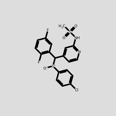 CS(=O)(=O)Nc1cc(C(c2cc(F)ccc2F)[S+]([O-])c2ccc(Cl)cc2)ccn1